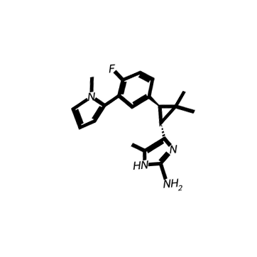 Cc1[nH]c(N)nc1[C@@H]1[C@@H](c2ccc(F)c(-c3cccn3C)c2)C1(C)C